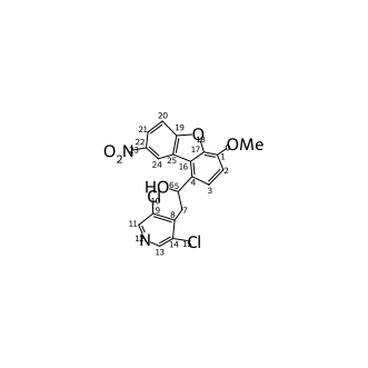 COc1ccc(C(O)Cc2c(Cl)cncc2Cl)c2c1oc1ccc([N+](=O)[O-])cc12